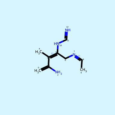 C=C(N)/C(C)=C(\C/N=C\C)NC=N